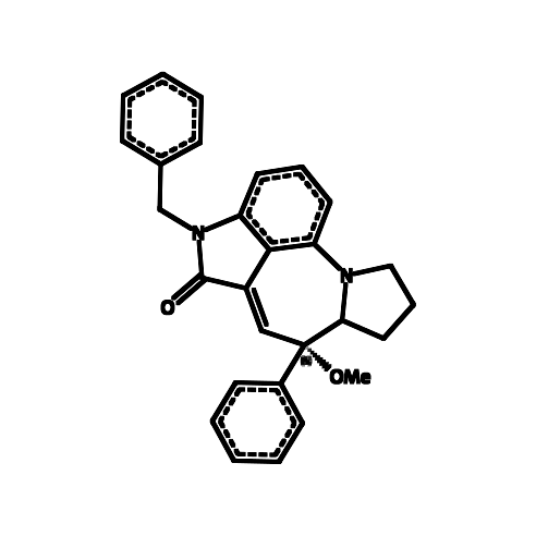 CO[C@]1(c2ccccc2)C=C2C(=O)N(Cc3ccccc3)c3cccc(c32)N2CCCC21